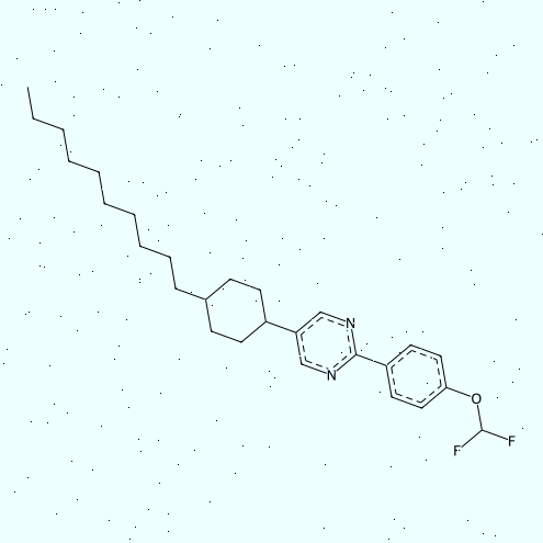 CCCCCCCCCCC1CCC(c2cnc(-c3ccc(OC(F)F)cc3)nc2)CC1